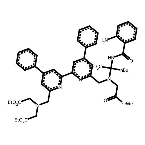 CCCCC(NC(=O)c1ccccc1N)(C(=O)OCC)N(CC(=O)OC)Cc1cc(-c2ccccc2)cc(-c2cc(-c3ccccc3)cc(CN(CC(=O)OCC)CC(=O)OCC)n2)n1